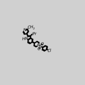 Cc1cc(-c2[nH]c3ccc(C4CCN(S(=O)(=O)c5ccc(Cl)cc5)CC4)cc3c2C(C)C)ccn1